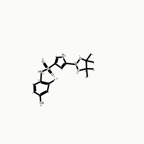 CC1(C)OB(c2cc(S(=O)(=O)Nc3ccc(C#N)cc3F)c[nH]2)OC1(C)C